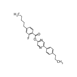 CCCCCc1ccc(C(=O)Oc2cnc(-c3ccc(CCC)cc3)cn2)c(F)c1